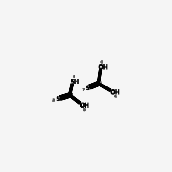 OC(=S)S.OC(O)=S